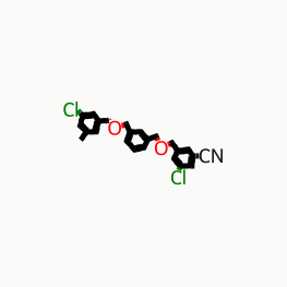 Cc1cc(Cl)cc(COCc2cccc(COCc3cc(Cl)cc(C#N)c3)c2)c1